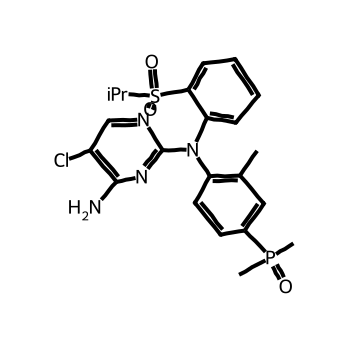 Cc1cc(P(C)(C)=O)ccc1N(c1ncc(Cl)c(N)n1)c1ccccc1S(=O)(=O)C(C)C